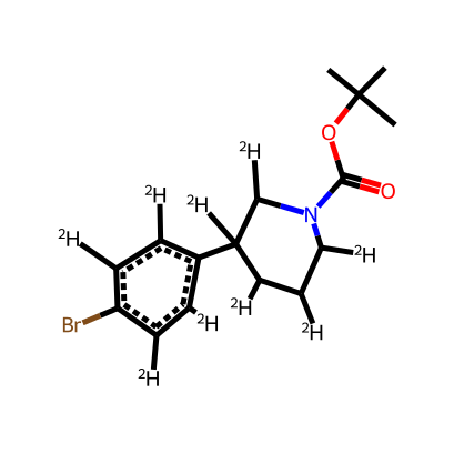 [2H]c1c([2H])c(C2([2H])C([2H])C([2H])C([2H])N(C(=O)OC(C)(C)C)C2[2H])c([2H])c([2H])c1Br